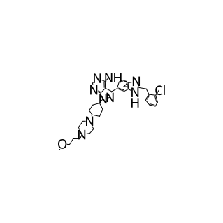 COCCCN1CCN(C2CCC(n3nc(-c4ccc5nc(Cc6ccccc6Cl)[nH]c5c4)c4c(N)ncnc43)CC2)CC1